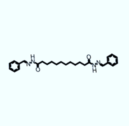 O=C(CCCCCCCCCCC(=O)NN=Cc1ccccc1)NN=Cc1ccccc1